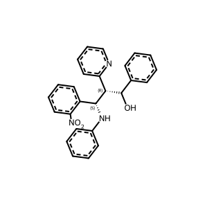 O=[N+]([O-])c1ccccc1[C@@H](Nc1ccccc1)[C@H](c1ccccn1)C(O)c1ccccc1